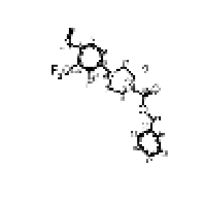 C=Nc1ccc(N2CCN(C(=O)OCc3ccccc3)[C@@H](C)C2)c(F)c1C(F)(F)F